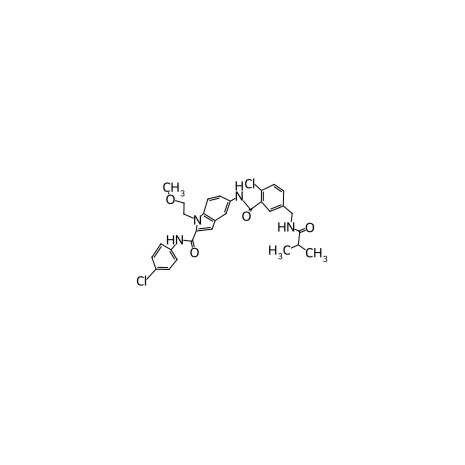 COCCn1c(C(=O)Nc2ccc(Cl)cc2)cc2cc(NC(=O)c3cc(CNC(=O)C(C)C)ccc3Cl)ccc21